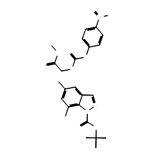 COC(=O)[C@@H](Cc1cc(C)c2c(cnn2C(=O)OC(C)(C)C)c1)OC(=O)Oc1ccc([N+](=O)[O-])cc1